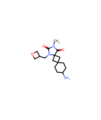 CN1C(=O)N(CC2COC2)C2(CC3(CCC(N)CC3)C2)C1=O